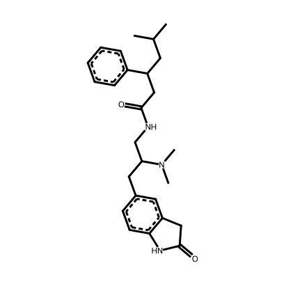 CC(C)CC(CC(=O)NCC(Cc1ccc2c(c1)CC(=O)N2)N(C)C)c1ccccc1